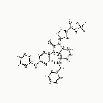 CC(C)(C)OC(=O)N1CCC(n2c(=O)n(-c3ccc(Oc4ccccc4)cc3)c3c(NCc4ccccc4)ncnc32)C1